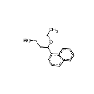 CCOC(CCO)c1cccc2ccccc12